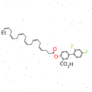 CC/C=C\C/C=C\C/C=C\C/C=C\C/C=C\C/C=C\CCC(=O)Oc1ccc(-c2ccc(F)cc2F)cc1C(=O)O